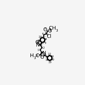 COC(=O)C(Cl)Cc1ccc2c(CCc3nc(-c4ccccc4)oc3C)noc2c1